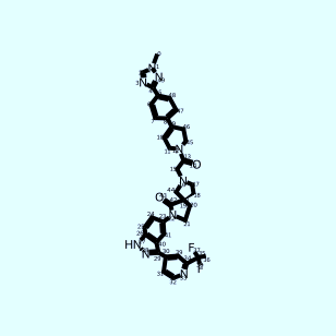 Cn1cnc(-c2ccc(C3=CCN(C(=O)CN4CC[C@]5(CCN(c6ccc7[nH]nc(-c8ccnc(C(C)(F)F)c8)c7c6)C5=O)C4)CC3)cc2)n1